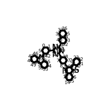 c1cc(-c2nc(-c3ccc(-c4nc5ccccc5c5sc6ccccc6c45)cc3)nc(-c3ccc4ccccc4c3)n2)cc(-n2c3ccccc3c3ccccc32)c1